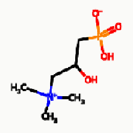 C[N+](C)(C)CC(O)CP(=O)([O-])O